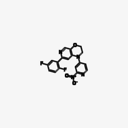 O=[N+]([O-])c1cc(N2CCOc3cnc(-c4cc(F)ccc4F)cc32)ccn1